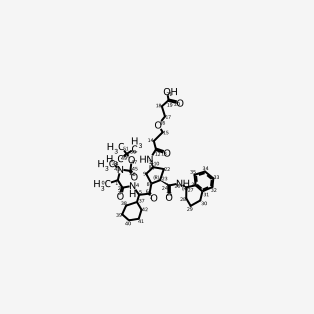 CC(C(=O)NC(C(=O)C1C[C@@H](NC(=O)CCOCCC(=O)O)C[C@H]1C(=O)N[C@@H]1CCCc2ccccc21)C1CCCCC1)N(C)C(=O)OC(C)(C)C